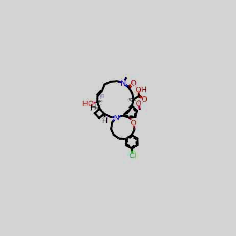 CO[C@@]1(C(=O)O)CC(=O)N(C)CCC/C=C/[C@H](O)[C@@H]2CC[C@H]2CN2CCCCc3cc(Cl)ccc3COc3ccc1cc32